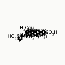 C=C(C)[C@@H]1CC[C@]2(N(C)CCC(=O)N3CCC[C@H]3C(=O)O)CC[C@]3(C)[C@H](CC[C@@H]4[C@@]5(C)CC=C(c6ccc(C(=O)O)cc6)C(C)(C)[C@@H]5CC[C@]43C)[C@@H]12